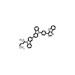 C/C=C\C=C(/C)n1c2ccccc2c2cc(-c3ccc4c(c3)c3ccccc3n4-c3ccc(-c4ncnc5c4oc4ccccc45)cc3)ccc21